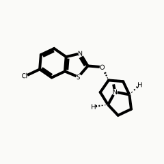 CN1[C@@H]2CC[C@H]1C[C@H](Oc1nc3ccc(Cl)cc3s1)C2